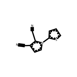 N#Cc1ccn(-c2cccs2)c1C#N